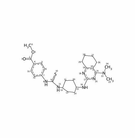 COC(=O)c1ccc(NC(=S)NC2CCC(Nc3nc4c(c(N(C)C)n3)CCCC4)CC2)cc1